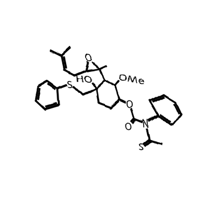 COC1C(OC(=O)N(C(C)=S)c2ccccc2)CCC(O)(CSc2ccccc2)C1C1(C)OC1CC=C(C)C